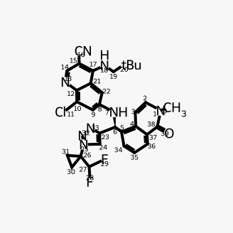 Cn1ccc2c([C@H](Nc3cc(Cl)c4ncc(C#N)c(NCC(C)(C)C)c4c3)c3cn(C4(C(F)F)CC4)nn3)cccc2c1=O